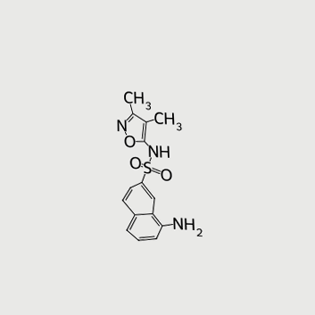 Cc1noc(NS(=O)(=O)c2ccc3cccc(N)c3c2)c1C